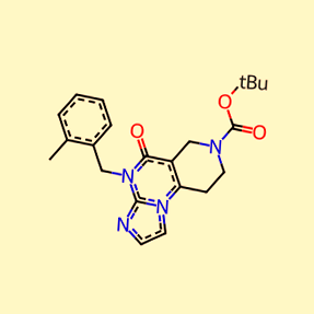 Cc1ccccc1Cn1c(=O)c2c(n3ccnc13)CCN(C(=O)OC(C)(C)C)C2